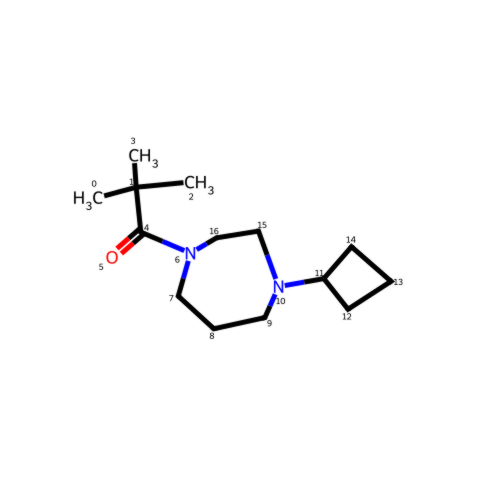 CC(C)(C)C(=O)N1CCCN(C2CCC2)CC1